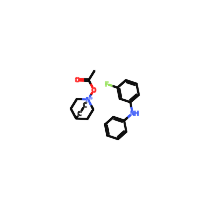 CC(=O)O[N+]12CCC(CC1)CC2.Fc1cccc(Nc2ccccc2)c1